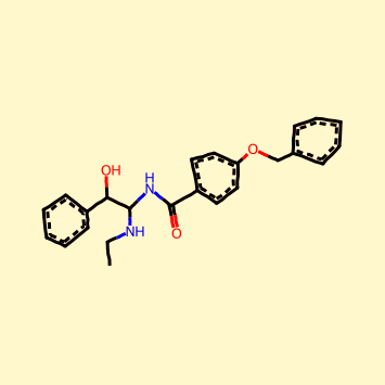 CCNC(NC(=O)c1ccc(OCc2ccccc2)cc1)C(O)c1ccccc1